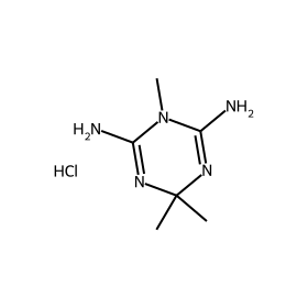 CN1C(N)=NC(C)(C)N=C1N.Cl